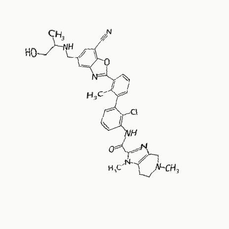 Cc1c(-c2nc3cc(CNC(C)CO)cc(C#N)c3o2)cccc1-c1cccc(NC(=O)c2nc3c(n2C)CCN(C)C3)c1Cl